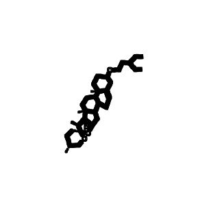 CCC(CC)CCOC1CC[C@@]2(C)C(=CCC3C2CC[C@@]2(C)C3CC3O[C@]4(CC[C@@H](C)CO4)[C@@H](C)[C@@H]32)C1